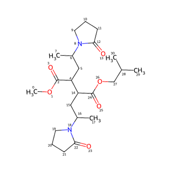 COC(=O)C(CC(C)N1CCCC1=O)C(CC(C)N1CCCC1=O)C(=O)OCC(C)C